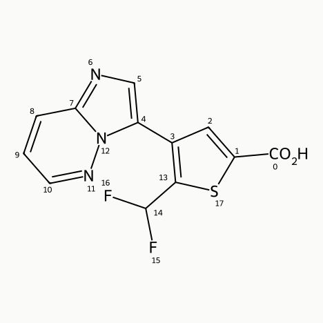 O=C(O)c1cc(-c2cnc3cccnn23)c(C(F)F)s1